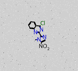 Cn1c([N+](=O)[O-])cnc1-c1nc(Cl)c2ccccc2n1